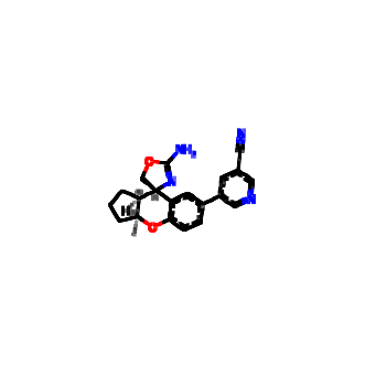 C[C@]12CCC[C@H]1[C@@]1(COC(N)=N1)c1cc(-c3cncc(C#N)c3)ccc1O2